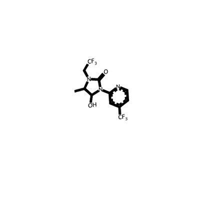 CC1C(O)N(c2cc(C(F)(F)F)ccn2)C(=O)N1CC(F)(F)F